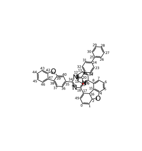 C1=CC2Oc3cccc(-c4ccccc4)c3C2C(c2nc(-c3ccc(-c4ccccc4)cc3)nc(-c3ccc4c(c3)oc3ccccc34)n2)=C1